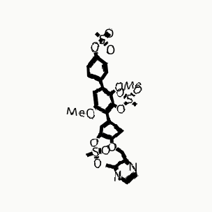 COc1cc(-c2ccc(OS(C)(=O)=O)cc2)c(OC)c(OS(C)(=O)=O)c1-c1ccc(OCc2nccnc2C)c(OS(C)(=O)=O)c1